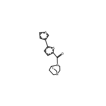 O=C(c1ccc(-c2ccsc2)s1)N1CCN2CCC1CC2